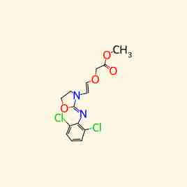 COC(=O)COC=CN1CCOC1=Nc1c(Cl)cccc1Cl